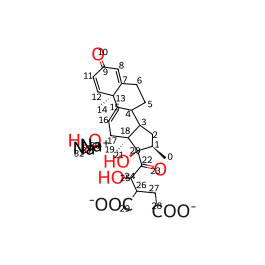 C[C@@H]1CC2C3CCC4=CC(=O)C=C[C@]4(C)C3=CC[C@]2(C)[C@@]1(O)C(=O)C(O)C(CC(=O)[O-])C(=O)[O-].O.[Na+].[Na+]